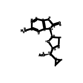 CC(=O)O[C@@H](C1CC1)[C@H]1O[C@@H](n2c(=O)sc3cnc(N)nc32)CS1